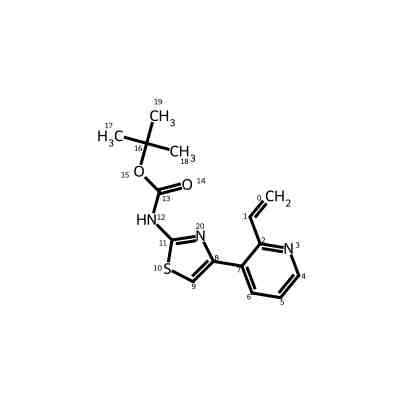 C=Cc1ncccc1-c1csc(NC(=O)OC(C)(C)C)n1